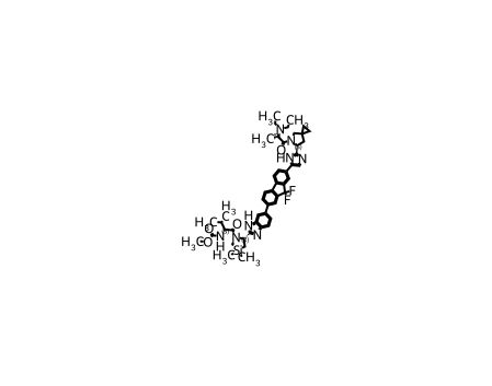 CCN(CC)[C@H](C)C(=O)N1CC2(CC2)C[C@H]1c1ncc(-c2ccc3c(c2)C(F)(F)c2cc(-c4ccc5nc([C@@H]6C[Si](C)(C)CN6C(=O)[C@@H](NC(=O)OC)C(C)C)[nH]c5c4)ccc2-3)[nH]1